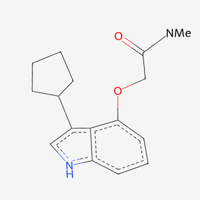 CNC(=O)COc1cccc2[nH]cc(C3CCCC3)c12